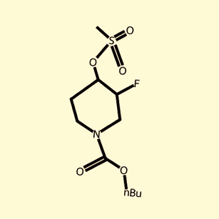 CCCCOC(=O)N1CCC(OS(C)(=O)=O)C(F)C1